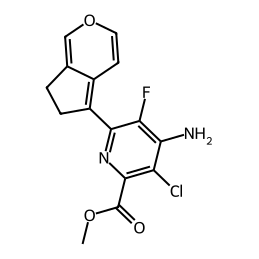 COC(=O)c1nc(C2=C3C=COC=C3CC2)c(F)c(N)c1Cl